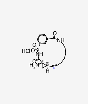 Cl.N[C@]12C[C@H]1/C=C\CCCCCNC(=O)c1cccc(c1)S(=O)(=O)NC2=O